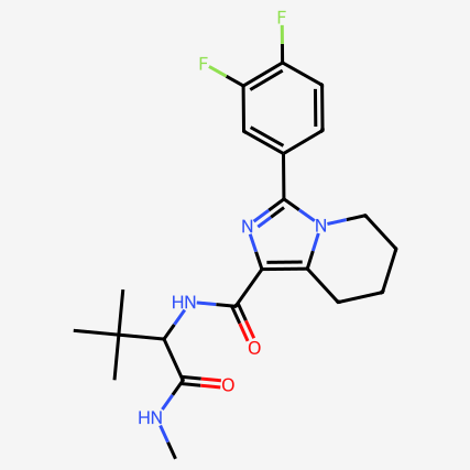 CNC(=O)C(NC(=O)c1nc(-c2ccc(F)c(F)c2)n2c1CCCC2)C(C)(C)C